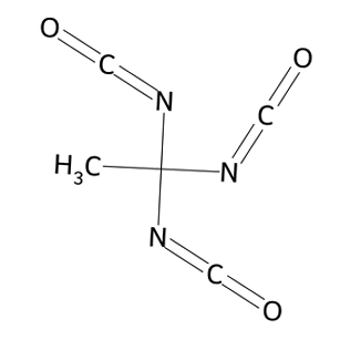 CC(N=C=O)(N=C=O)N=C=O